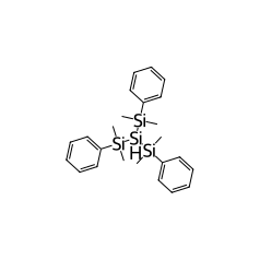 C[Si](C)(c1ccccc1)[SiH]([Si](C)(C)c1ccccc1)[Si](C)(C)c1ccccc1